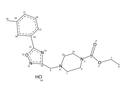 CCOC(=O)N1CCN(Cc2noc(-c3cccc(C)c3)n2)CC1.Cl